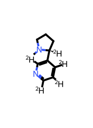 [2H]c1nc([2H])c([C@]2([2H])CCCN2C)c([2H])c1[2H]